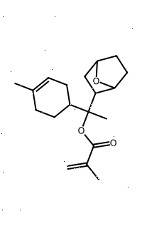 C=C(C)C(=O)OC(C)(C1CC=C(C)CC1)C1CC2CCC1O2